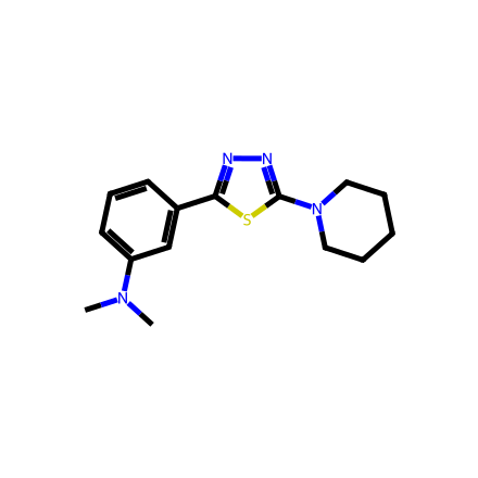 CN(C)c1cccc(-c2nnc(N3CCCCC3)s2)c1